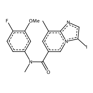 COc1cc(N(C)C(=O)c2cc(C)c3ncc(I)n3c2)ccc1F